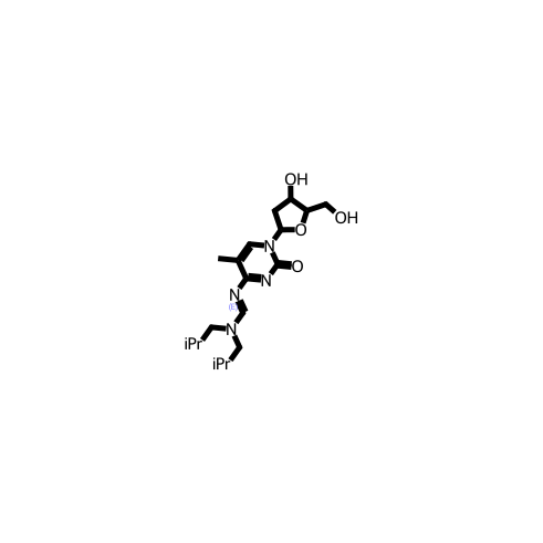 Cc1cn(C2CC(O)C(CO)O2)c(=O)nc1/N=C/N(CC(C)C)CC(C)C